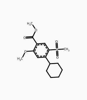 COC(=O)c1cc(S(C)(=O)=O)c(C2CCCCC2)cc1OC